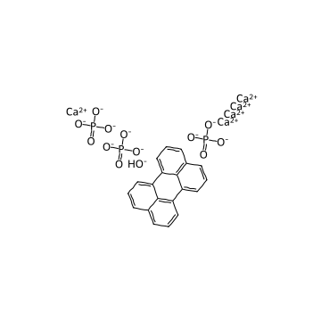 O=P([O-])([O-])[O-].O=P([O-])([O-])[O-].O=P([O-])([O-])[O-].[Ca+2].[Ca+2].[Ca+2].[Ca+2].[Ca+2].[OH-].c1cc2cccc3c4cccc5cccc(c(c1)c23)c54